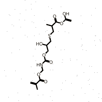 C=C(O)OC(=O)C(C)CSCC(O)COC(=O)NCOC(=O)C(=C)C